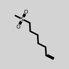 C=CCCCCCS(C)(=O)=O